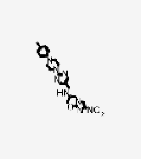 Cc1ccc(N2CCN(c3ncc(CN[C@@H]4COc5nc([N+](=O)[O-])cn5C4)cn3)CC2)cc1